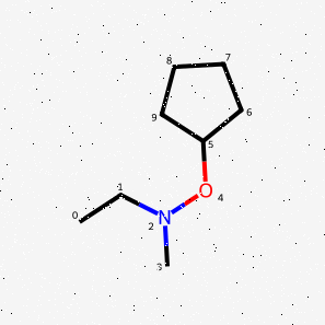 CCN(C)OC1CCCC1